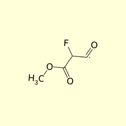 COC(=O)C(F)[C]=O